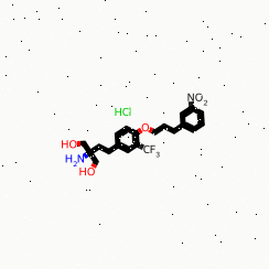 Cl.NC(CO)(CO)CCc1ccc(OCCCc2cccc([N+](=O)[O-])c2)c(C(F)(F)F)c1